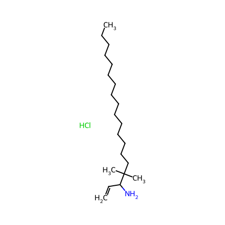 C=CC(N)C(C)(C)CCCCCCCCCCCCCCC.Cl